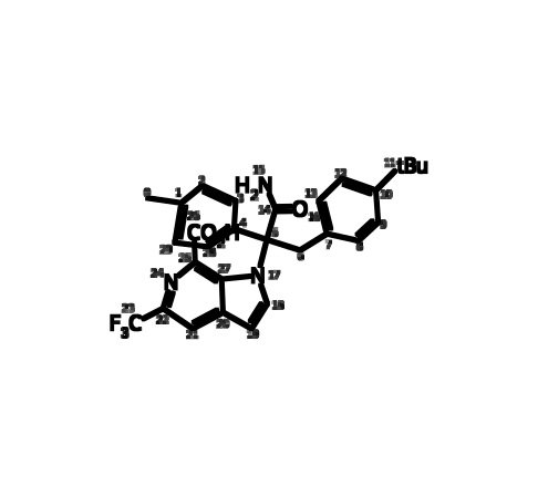 Cc1ccc(C(Cc2ccc(C(C)(C)C)cc2)(C(N)=O)n2ccc3cc(C(F)(F)F)nc(C(=O)O)c32)cc1